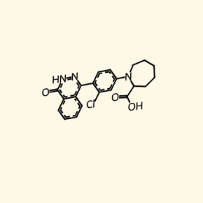 O=C(O)C1CCCCCN1c1ccc(-c2n[nH]c(=O)c3ccccc23)c(Cl)c1